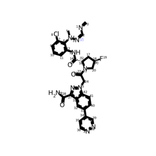 C=N/C=N\N(C)c1c(Cl)cccc1NC(=O)[C@@H]1C[C@@H](F)CN1C(=O)Cn1nc(C(N)=O)c2cc(-c3ccnnc3)ccc21